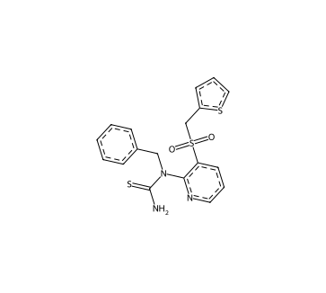 NC(=S)N(Cc1ccccc1)c1ncccc1S(=O)(=O)Cc1cccs1